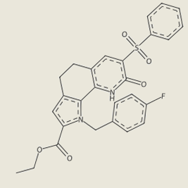 CCOC(=O)c1cc2c(n1Cc1ccc(F)cc1)-c1[nH]c(=O)c(S(=O)(=O)c3ccccc3)cc1CC2